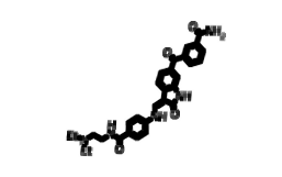 CCN(CC)CCNC(=O)c1ccc(N/C=C2\C(=O)Nc3cc(C(=O)c4cccc(C(N)=O)c4)ccc32)cc1